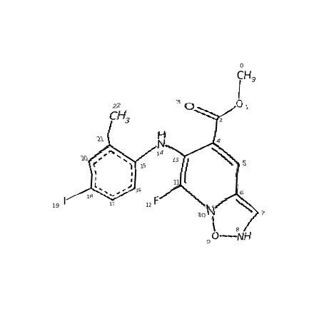 COC(=O)C1=CC2=CNON2C(F)=C1Nc1ccc(I)cc1C